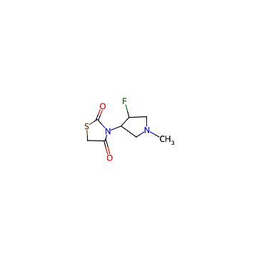 CN1CC(F)C(N2C(=O)CSC2=O)C1